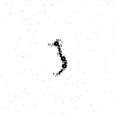 Nc1cc(N)cc(C(=O)OCCOC(=O)/C=C/c2ccc(OC(F)(F)c3ccc(OCCCCC(F)(F)F)cc3)cc2)c1